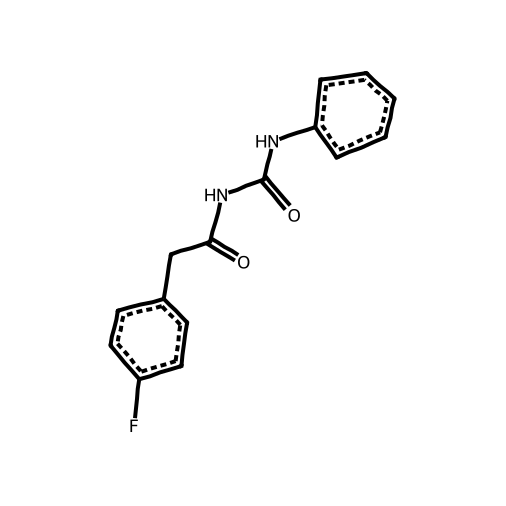 O=C(Cc1ccc(F)cc1)NC(=O)Nc1ccccc1